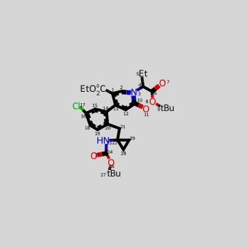 CCOC(=O)c1cn(C(CC)C(=O)OC(C)(C)C)c(=O)cc1-c1cc(Cl)ccc1CC1(NC(=O)OC(C)(C)C)CC1